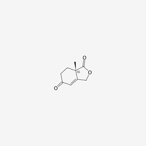 C[C@]12CCC(=O)C=C1COC2=O